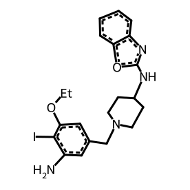 CCOc1cc(CN2CCC(Nc3nc4ccccc4o3)CC2)cc(N)c1I